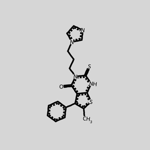 Cc1sc2[nH]c(=S)n(CCCn3ccnc3)c(=O)c2c1-c1ccccc1